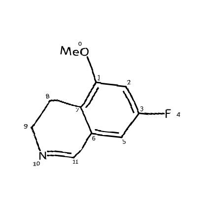 COc1cc(F)cc2c1CCN=C2